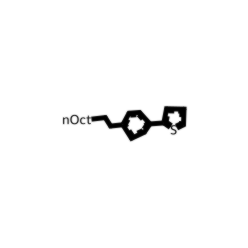 CCCCCCCCCCc1ccc(-c2cccs2)cc1